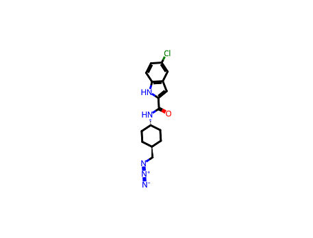 [N-]=[N+]=NC[C@H]1CC[C@H](NC(=O)c2cc3cc(Cl)ccc3[nH]2)CC1